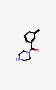 C=C1C=C(C(=O)N2CCNCC2)C=CC1